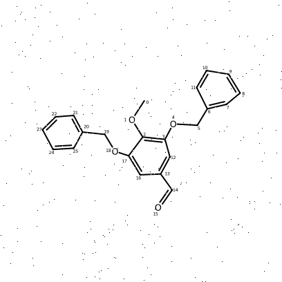 COc1c(OCc2ccccc2)cc(C=O)cc1OCc1ccccc1